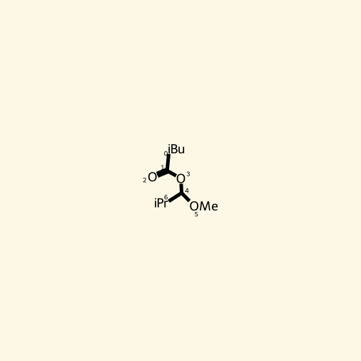 CCC(C)C(=O)OC(OC)C(C)C